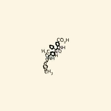 Cc1cc(N/C(=C2\C(=O)Nc3cc(C(=O)O)ccc32)c2ccccc2)ccc1C(=O)NOCCN1CCN(C)CC1